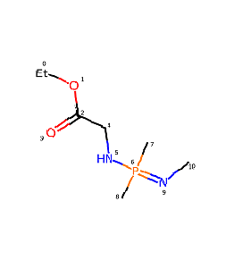 CCOC(=O)CNP(C)(C)=NC